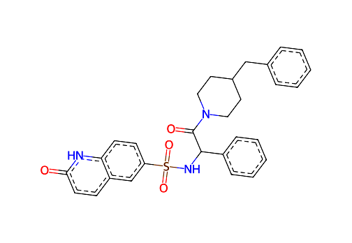 O=C(C(NS(=O)(=O)c1ccc2[nH]c(=O)ccc2c1)c1ccccc1)N1CCC(Cc2ccccc2)CC1